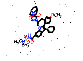 COc1ccc2c(c1)CC(NC(=O)C(=O)N1C3CCC1CN(C)C3)Cn1c-2c(C2CCCCC2)c2ccc(C(=O)NS(=O)(=O)N(C)C)cc21